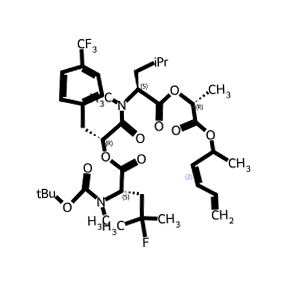 C=C/C=C\C(C)OC(=O)[C@@H](C)OC(=O)[C@H](CC(C)C)N(C)C(=O)[C@@H](Cc1ccc(C(F)(F)F)cc1)OC(=O)[C@H](CC(C)(C)F)N(C)C(=O)OC(C)(C)C